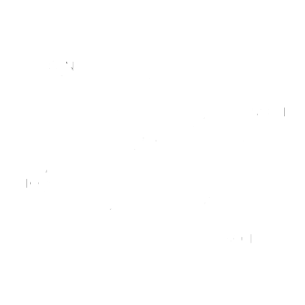 O=[N+]([O-])c1cc(S(=O)(=O)O)c2ccc3c(S(=O)(=O)O)cc(S(=O)(=O)O)c4ccc1c2c43